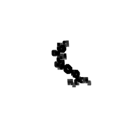 CN(C)C1CCN(c2ccc(-c3noc(CNC(=O)c4ccc(Cl)nc4)n3)cc2)C1